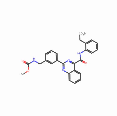 CCOC(=O)Cc1ccccc1NC(=O)c1nc(-c2cccc(CNC(=O)OC(C)(C)C)c2)nc2ccccc12